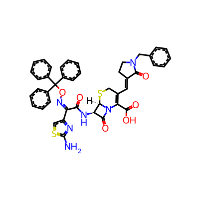 Nc1nc(/C(=N/OC(c2ccccc2)(c2ccccc2)c2ccccc2)C(=O)N[C@@H]2C(=O)N3C(C(=O)O)=C(/C=C4\CCN(Cc5ccccc5)C4=O)CS[C@H]23)cs1